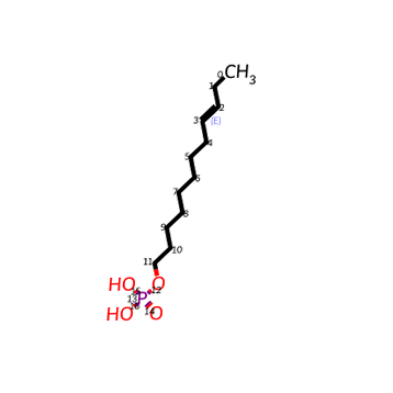 CC/C=C/CCCCCCCCOP(=O)(O)O